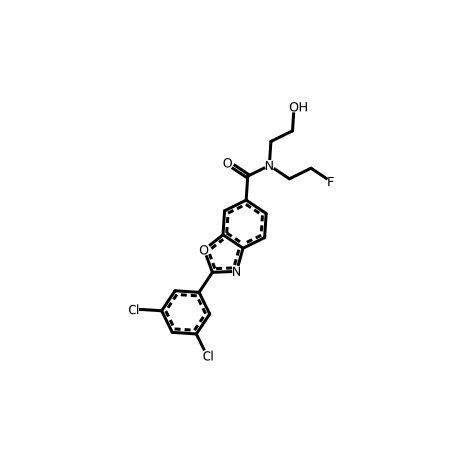 O=C(c1ccc2nc(-c3cc(Cl)cc(Cl)c3)oc2c1)N(CCO)CCF